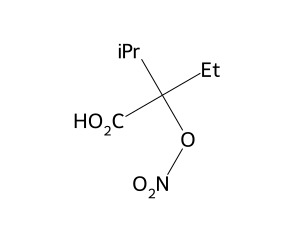 CCC(O[N+](=O)[O-])(C(=O)O)C(C)C